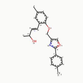 Cc1ccc(OCc2coc(-c3ccc(C(F)(F)F)cc3)n2)c(/C=C/C(C)O)c1